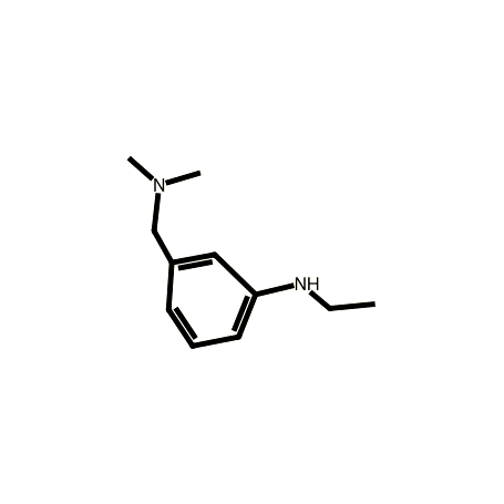 CCNc1cccc(CN(C)C)c1